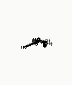 CC(C)(C)N1C[C@@H](COc2cccc3[nH]c(C(=O)NCCCCCCCCO)cc23)OC1c1ccccc1